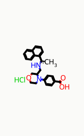 C[C@@H](NCC1COCCN1c1ccc(C(=O)O)cc1)c1cccc2ccccc12.Cl